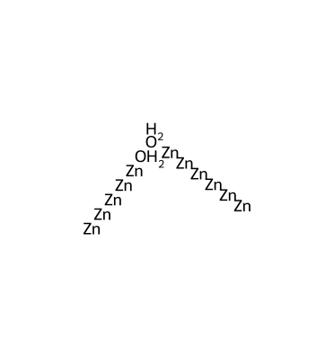 O.O.[Zn].[Zn].[Zn].[Zn].[Zn].[Zn].[Zn].[Zn].[Zn].[Zn].[Zn]